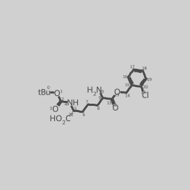 CC(C)(C)OC(=O)N[C@H](CCCC(N)C(=O)OCc1ccccc1Cl)C(=O)O